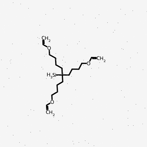 C=COCCCCC([SiH3])(CCCCOC=C)CCCCOC=C